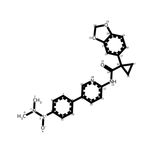 CN(C)[S+]([O-])c1ccc(-c2ccc(NC(=O)C3(c4ccc5c(c4)OCO5)CC3)nc2)cc1